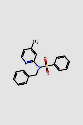 O=S(=O)(c1ccccc1)N(Cc1ccccc1)c1cc(C(F)(F)F)ccn1